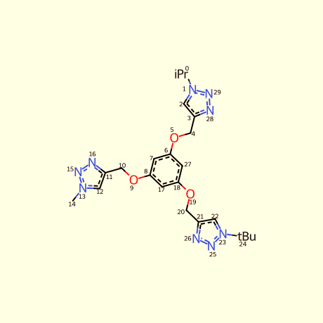 CC(C)n1cc(COc2cc(OCc3cn(C)nn3)cc(OCc3cn(C(C)(C)C)nn3)c2)nn1